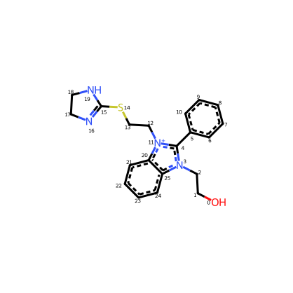 OCCn1c(-c2ccccc2)[n+](CCSC2=NCCN2)c2ccccc21